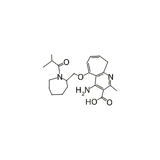 Cc1nc2c(c(N)c1C(=O)O)C(OCC1CCCCCN1C(=O)C(C)C)=CC=CC2